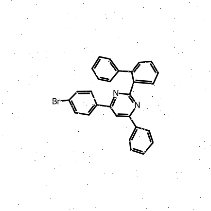 Brc1ccc(-c2cc(-c3ccccc3)nc(-c3ccccc3-c3ccccc3)n2)cc1